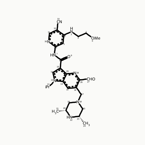 COCCNc1cc(NC(=O)c2cn(C(C)C)c3cc(CN4C[C@@H](C)N[C@@H](C)C4)c(C=O)nc23)ncc1C#N